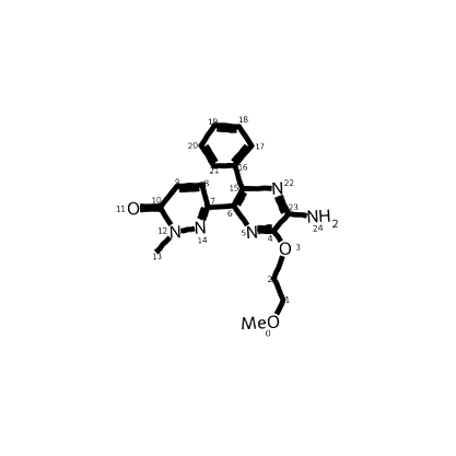 COCCOc1nc(-c2ccc(=O)n(C)n2)c(-c2ccccc2)nc1N